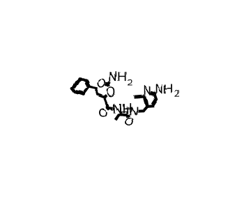 Cc1nc(N)ccc1CNC(=O)C(C)NC(=O)C(CCc1ccccc1)OC(N)=O